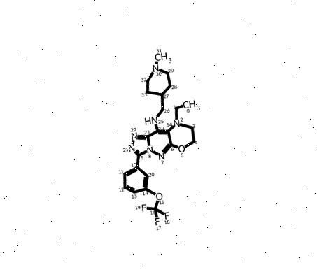 CCN1CCOc2nn3c(-c4cccc(OC(F)(F)F)c4)nnc3c(NCC3CCN(C)CC3)c21